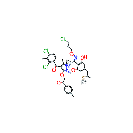 CCSC(C)CC1CC(=O)C(/C(CC)=N/OC/C=C/Cl)=C(O)C1.Cc1ccc(C(=O)COc2c(C(=O)c3ccc(Cl)c(C)c3Cl)c(C)nn2C)cc1